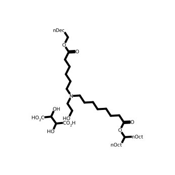 CCCCCCCCCCCOC(=O)CCCCCN(CCO)CCCCCCCC(=O)OC(CCCCCCCC)CCCCCCCC.O=C(O)C(O)C(O)C(=O)O